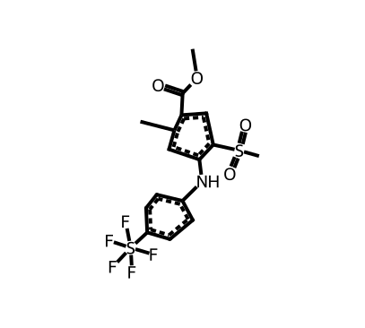 COC(=O)c1cc(S(C)(=O)=O)c(Nc2ccc(S(F)(F)(F)(F)F)cc2)cc1C